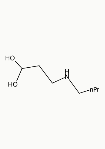 CCCCNCCC(O)O